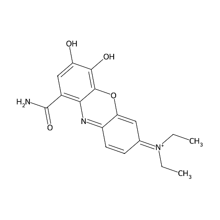 CC[N+](CC)=c1ccc2nc3c(C(N)=O)cc(O)c(O)c3oc-2c1